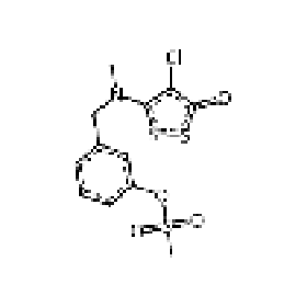 CN(Cc1cccc(OS(C)(=O)=O)c1)c1ssc(=O)c1Cl